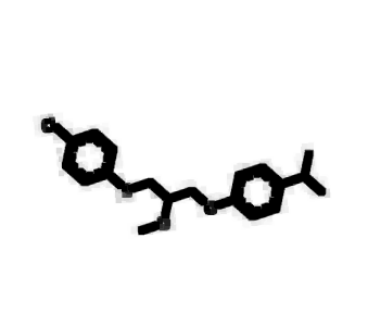 COC(COc1ccc(C(C)C)cc1)CSc1ccc(Cl)cc1